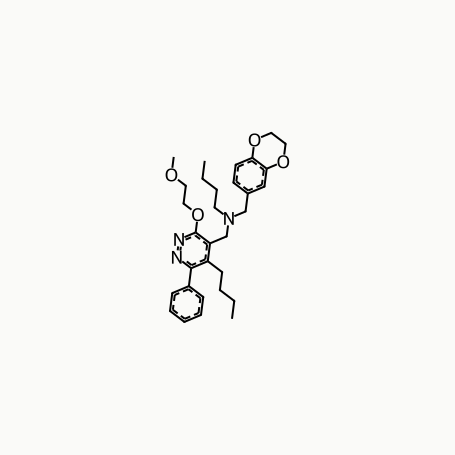 CCCCc1c(-c2ccccc2)nnc(OCCOC)c1CN(CCCC)Cc1ccc2c(c1)OCCO2